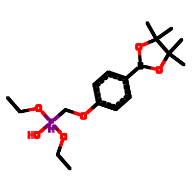 CCO[PH](O)(COc1ccc(B2OC(C)(C)C(C)(C)O2)cc1)OCC